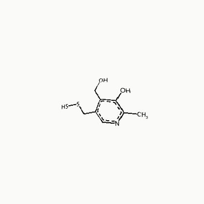 Cc1ncc(CSS)c(CO)c1O